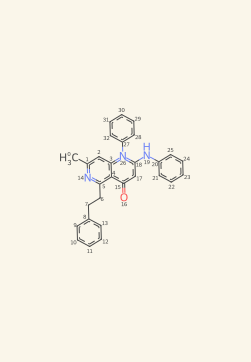 Cc1cc2c(c(CCc3ccccc3)n1)c(=O)cc(Nc1ccccc1)n2-c1ccccc1